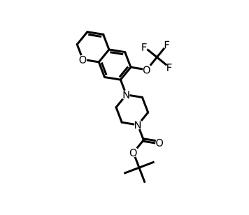 CC(C)(C)OC(=O)N1CCN(c2cc3c(cc2OC(F)(F)F)C=CCO3)CC1